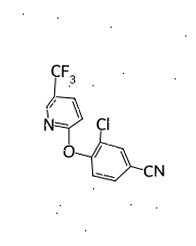 N#Cc1ccc(Oc2ccc(C(F)(F)F)cn2)c(Cl)c1